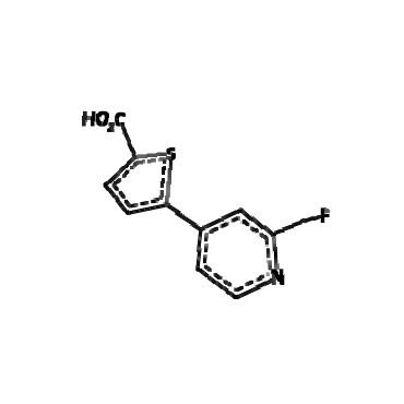 O=C(O)c1ccc(-c2ccnc(F)c2)s1